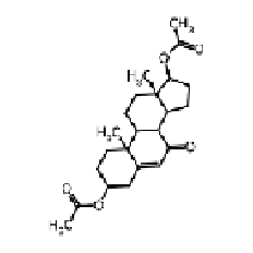 CC(=O)OC1CCC2(C)C(=CC(=O)C3C2CC[C@]2(C)C(OC(C)=O)CCC32)C1